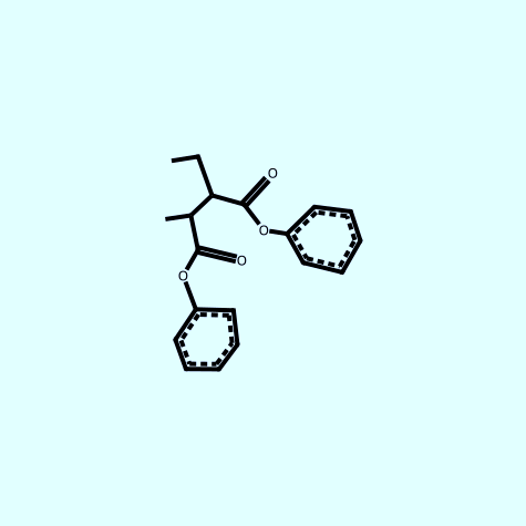 CCC(C(=O)Oc1ccccc1)C(C)C(=O)Oc1ccccc1